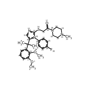 COc1cccc(C(C)(C)c2cnc(SCC(=O)N3CCN(C)CC3)n2-c2ccc(F)cc2)c1OC